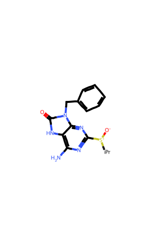 CC(C)[S+]([O-])c1nc(N)c2[nH]c(=O)n(Cc3ccccc3)c2n1